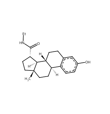 CCNC(=O)[C@H]1CC[C@@]2(C)CC[C@@H]3c4ccc(O)cc4CC[C@H]3[C@H]12